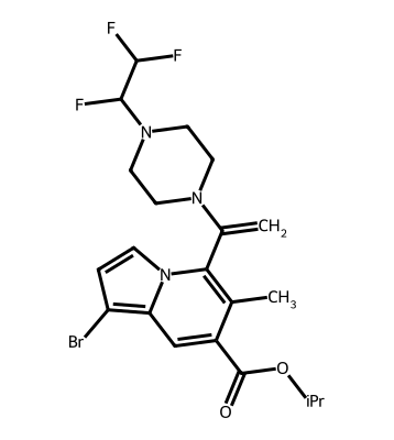 C=C(c1c(C)c(C(=O)OC(C)C)cc2c(Br)ccn12)N1CCN(C(F)C(F)F)CC1